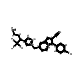 N#Cc1cc2cc(Cn3cc(C(CCO)C(F)(F)F)nn3)ccn2c1-c1ccc(F)cc1